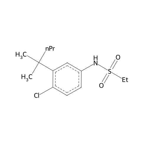 CCCC(C)(C)c1cc(NS(=O)(=O)CC)ccc1Cl